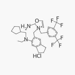 CCN(CC1CCCC1)c1cc2c(cc1C[N+]1(Cc3cc(C(F)(F)F)cc(C(F)(F)F)c3)C=COC1N)CCC2.Cl